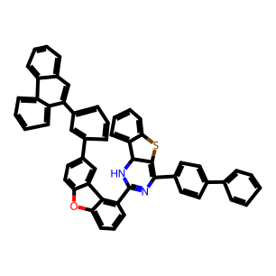 c1ccc(-c2ccc(C3=C4Sc5ccccc5C4NC(c4cccc5oc6ccc(-c7cccc(-c8cc9ccccc9c9ccccc89)c7)cc6c45)=N3)cc2)cc1